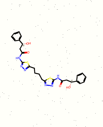 O=C(C[C@@H](O)c1ccccc1)Nc1nnc(CCCCc2nnc(NC(=O)C[C@@H](O)c3ccccc3)s2)s1